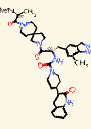 CN[C@H](C)C(=O)N1CCC2(CCN(C(=O)[C@H](Cc3cc(C)c4[nH]ncc4c3)NC(=O)N3CCC(c4cc5ccccc5[nH]c4=O)CC3)C2)CC1